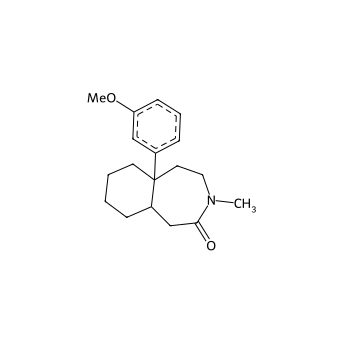 COc1cccc(C23CCCCC2CC(=O)N(C)CC3)c1